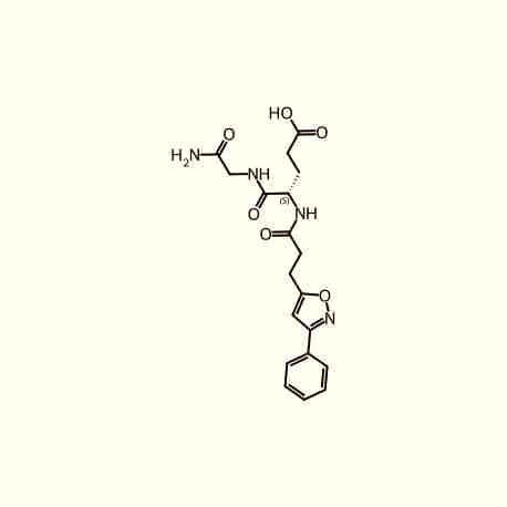 NC(=O)CNC(=O)[C@H](CCC(=O)O)NC(=O)CCc1cc(-c2ccccc2)no1